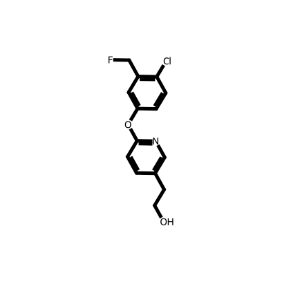 OCCc1ccc(Oc2ccc(Cl)c(CF)c2)nc1